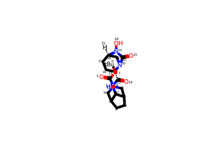 CC(C)(C)OC(=O)N1CC2CCC(C1)C2NC(=O)[C@@H]1CC[C@@H]2CN1C(=O)N2O